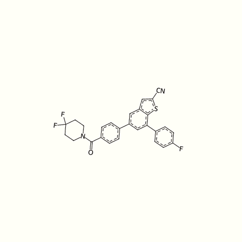 N#Cc1cc2cc(-c3ccc(C(=O)N4CCC(F)(F)CC4)cc3)cc(-c3ccc(F)cc3)c2s1